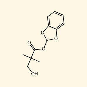 CC(C)(CO)C(=O)OB1Oc2ccccc2O1